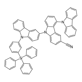 N#Cc1ccc2c(c1)c1c(-n3c4ccccc4c4ccccc43)cccc1n2-c1ccc2c(c1)c1ccccc1n2-c1cccc([Si](c2ccccc2)(c2ccccc2)c2ccccc2)c1